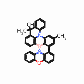 Cc1cc2c3c(c1)N1c4ccccc4C(C)(C)c4cccc(c41)B3N1c3ccccc3Oc3cccc-2c31